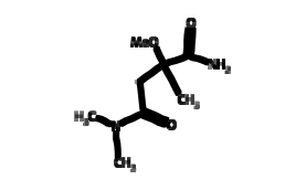 COC(C)([CH]C(=O)N(C)C)C(N)=O